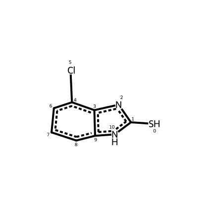 Sc1nc2c(Cl)cccc2[nH]1